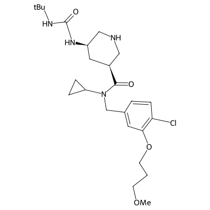 COCCCOc1cc(CN(C(=O)[C@@H]2CNC[C@H](NC(=O)NC(C)(C)C)C2)C2CC2)ccc1Cl